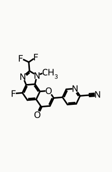 Cn1c(C(F)F)nc2c(F)cc3c(=O)cc(-c4ccc(C#N)nc4)oc3c21